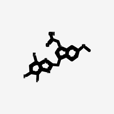 COc1ccc2c(Cc3nc4c(F)c(F)cc(F)c4s3)cn(CC(=O)O)c2c1